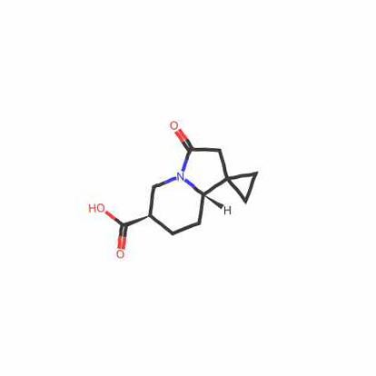 O=C(O)[C@@H]1CC[C@@H]2N(C1)C(=O)CC21CC1